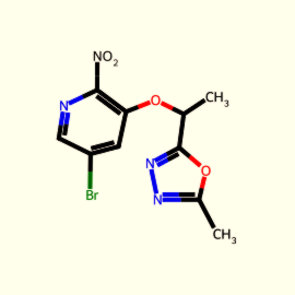 Cc1nnc(C(C)Oc2cc(Br)cnc2[N+](=O)[O-])o1